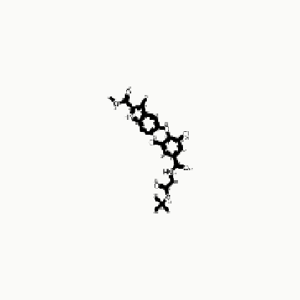 COC(=O)c1[nH]c2ccc(Oc3c(Cl)cc(C(=O)NCC(=O)OC(C)(C)C)cc3Cl)cc2c1C